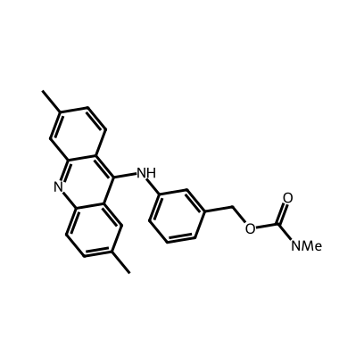 CNC(=O)OCc1cccc(Nc2c3ccc(C)cc3nc3ccc(C)cc23)c1